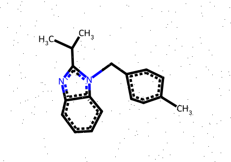 Cc1ccc(Cn2c(C(C)C)nc3ccccc32)cc1